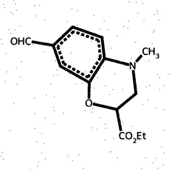 CCOC(=O)C1CN(C)c2ccc(C=O)cc2O1